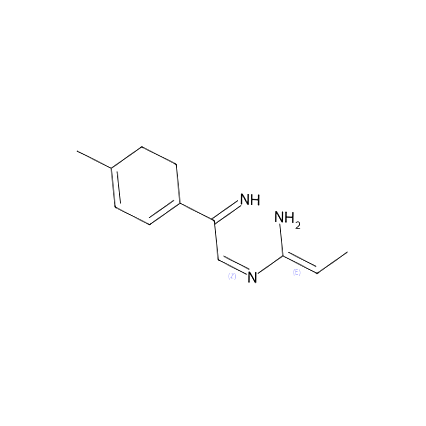 C/C=C(N)/N=C\C(=N)C1=CC=C(C)CC1